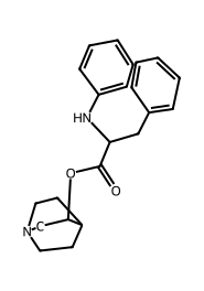 O=C(OC1CN2CCC1CC2)C(Cc1ccccc1)Nc1ccccc1